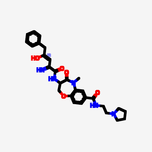 CN1C(=O)C(NC(=O)C(=N)/C=C(\O)Cc2ccccc2)COc2ccc(C(=O)NCCN3CCCC3)cc21